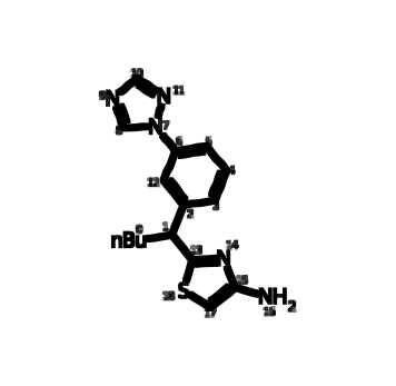 CCCCC(c1cccc(-n2cncn2)c1)c1nc(N)cs1